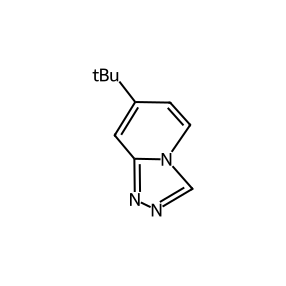 CC(C)(C)c1ccn2cnnc2c1